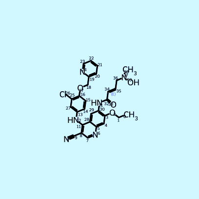 CCOc1cc2ncc(C#N)c(Nc3ccc(OCc4ccccn4)c(Cl)c3)c2cc1NC(=O)/C=C/CN(C)O